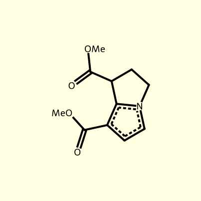 COC(=O)c1ccn2c1C(C(=O)OC)CC2